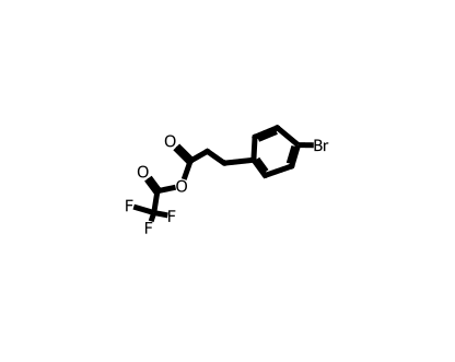 O=C(CCc1ccc(Br)cc1)OC(=O)C(F)(F)F